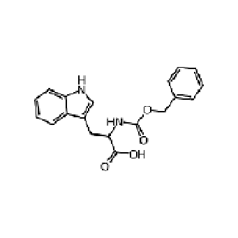 O=C(NC(Cc1c[nH]c2ccccc12)C(=O)O)OCc1ccccc1